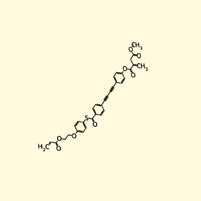 C=CC(=O)OCCOc1ccc(SC(=O)c2ccc(C#CC#Cc3ccc(OC(=O)C(=C)CC(=O)OC)cc3)cc2)cc1